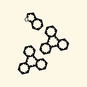 c1ccc2c(c1)c1ccccc1c1ccccc21.c1ccc2c(c1)c1ccccc1c1ccccc21.c1ccc2occc2c1